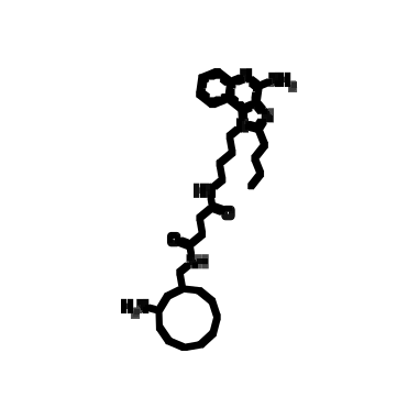 CCCCc1nc2c(N)nc3ccccc3c2n1CCCCNC(=O)CCC(=O)NCC1CCCCCCCCC(N)C1